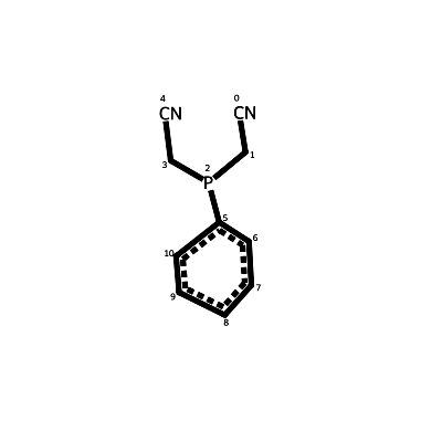 N#CCP(CC#N)c1ccccc1